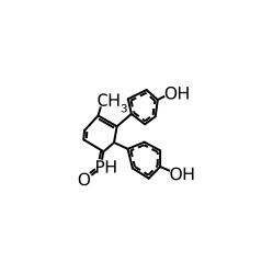 CC1=C(c2ccc(O)cc2)C(c2ccc(O)cc2)C(=[PH]=O)C=C1